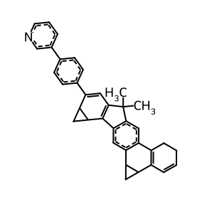 CC1(C)C2=C(c3cc4c(cc31)C1=C(C=CCC1)C1CC41)C1CC1C(c1ccc(-c3cccnc3)cc1)=C2